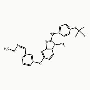 CO/N=C\c1cc(Oc2ccc3c(c2)nc(Nc2ccc(SC(F)(F)F)cc2)n3C)ccn1